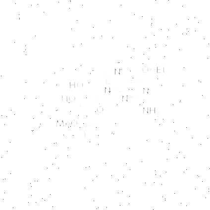 CCOc1nc(N)nc2c1nc(C)n2[C@@H]1O[C@H](C(C)(C)OC)[C@@](C)(O)[C@@H]1O